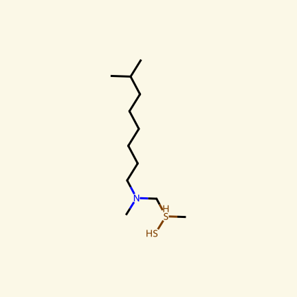 CC(C)CCCCCCN(C)C[SH](C)S